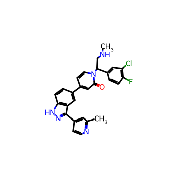 CNCC(c1ccc(F)c(Cl)c1)n1ccc(-c2ccc3[nH]nc(-c4ccnc(C)c4)c3c2)cc1=O